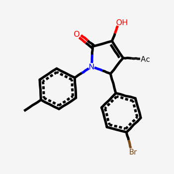 CC(=O)C1=C(O)C(=O)N(c2ccc(C)cc2)C1c1ccc(Br)cc1